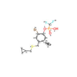 O=P(O)(Oc1ccc(CSCC2CC2)cc1Br)C(F)F.[Na].[Na]